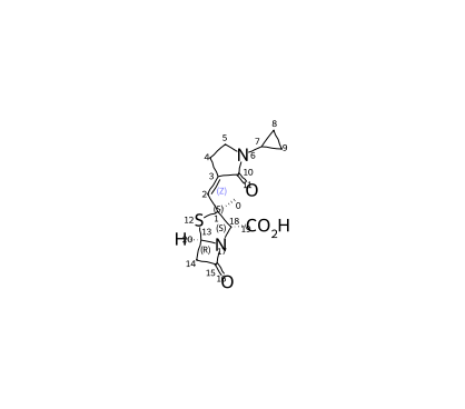 C[C@@]1(/C=C2/CCN(C3CC3)C2=O)S[C@@H]2CC(=O)N2[C@H]1C(=O)O